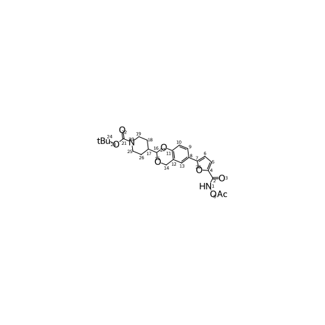 CC(=O)ONC(=O)c1ccc(-c2ccc3c(c2)COC(C2CCN(C(=O)OC(C)(C)C)CC2)O3)o1